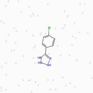 Brc1ccc(C2=NNNN2)cc1